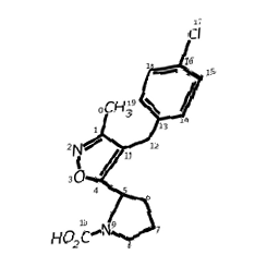 Cc1noc(C2CCCN2C(=O)O)c1Cc1ccc(Cl)cc1